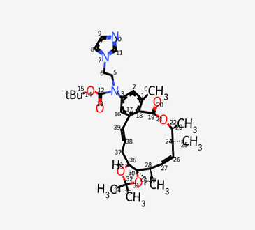 Cc1cc(N(CCn2ccnc2)C(=O)OC(C)(C)C)cc2c1C(=O)O[C@@H](C)[C@H](C)/C=C\[C@@H](C)[C@H]1OC(C)(C)O[C@H]1C/C=C/2